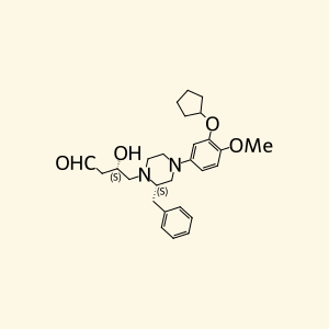 COc1ccc(N2CCN(C[C@@H](O)CC=O)[C@@H](Cc3ccccc3)C2)cc1OC1CCCC1